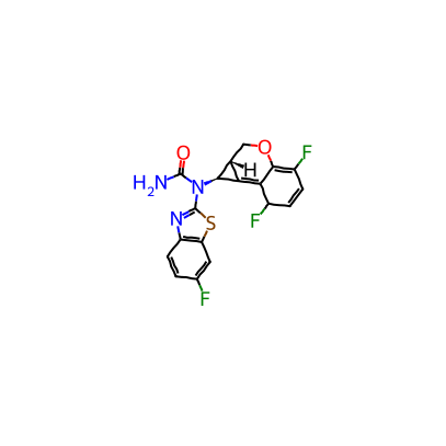 NC(=O)N(c1nc2ccc(F)cc2s1)[C@@H]1C2=C3C(=C(F)C=CC3F)OC[C@H]21